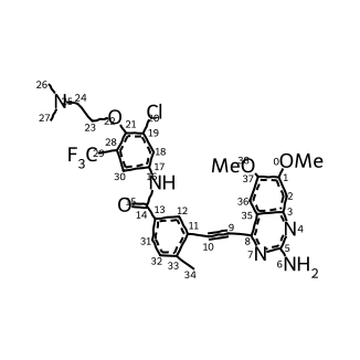 COc1cc2nc(N)nc(C#Cc3cc(C(=O)Nc4cc(Cl)c(OCCN(C)C)c(C(F)(F)F)c4)ccc3C)c2cc1OC